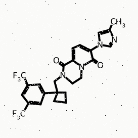 Cc1cn(-c2ccc3n(c2=O)CCN(CC2(c4cc(C(F)(F)F)cc(C(F)(F)F)c4)CCC2)C3=O)cn1